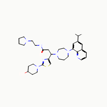 CC(C)c1cc(N2CCCN(C(CC(=O)NCCN3CCCC3)c3csc(N4CCC(O)CC4)n3)CC2)c2ncccc2c1